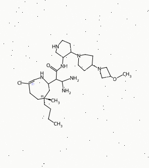 CCCC[C@]1(C)CC/C(Cl)=C\NC(C(C(=O)NC2CNCCC2N2CCC(N3CC(OC)C3)CC2)C(N)N)C1